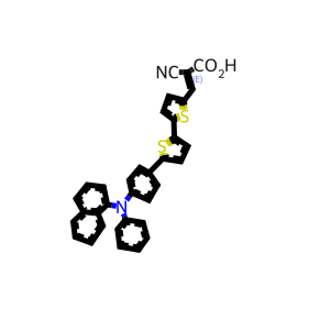 N#C/C(=C\c1ccc(-c2ccc(-c3ccc(N(c4ccccc4)c4cccc5ccccc45)cc3)s2)s1)C(=O)O